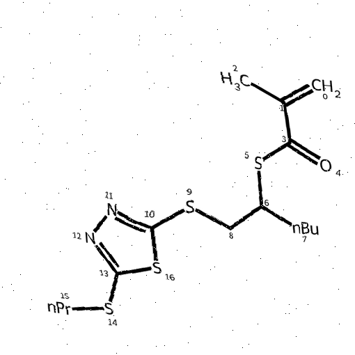 C=C(C)C(=O)SC(CCCC)CSc1nnc(SCCC)s1